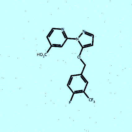 O=C(O)c1ccnc(-n2nccc2OCc2ccc(F)c(C(F)(F)F)c2)c1